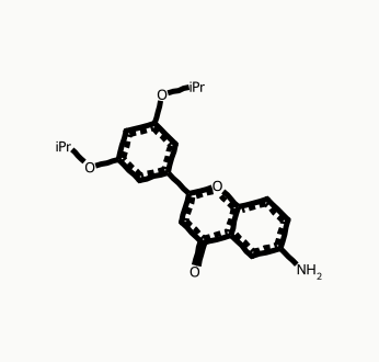 CC(C)Oc1cc(OC(C)C)cc(-c2cc(=O)c3cc(N)ccc3o2)c1